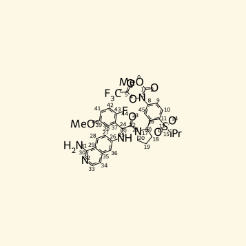 COC(=O)N(OC(=O)C(F)(F)F)c1ccc(S(=O)(=O)C(C)C)c([C@H]2CCCN2C(=O)[C@H](Nc2ccc3c(N)nccc3c2)c2cc(OC)ccc2F)c1